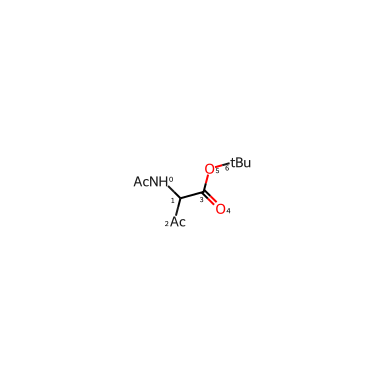 CC(=O)NC(C(C)=O)C(=O)OC(C)(C)C